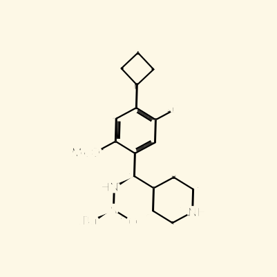 COc1cc(C2CCC2)c(Cl)cc1[C@H](N[S@@+]([O-])C(C)(C)C)C1CCNCC1